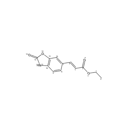 CCOC(=O)/C=C/c1ccc2[nH]c(=O)oc2c1